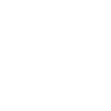 COc1ccc(Oc2ccc(Br)cc2C(=O)NC(CC(=O)O)c2ccc(-c3ccccc3Oc3ccccc3)cc2)cc1